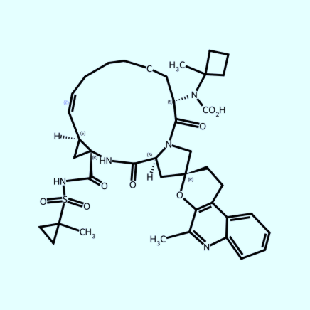 Cc1nc2ccccc2c2c1O[C@]1(CC2)C[C@H]2C(=O)N[C@]3(C(=O)NS(=O)(=O)C4(C)CC4)C[C@H]3/C=C\CCCCC[C@H](N(C(=O)O)C3(C)CCC3)C(=O)N2C1